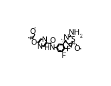 COC[C@H](C)Oc1cnc(C(=O)Nc2cc(F)c(F)c([C@@]3(C)N=C(N)S[C@@]4(COC)CC43)c2)cn1